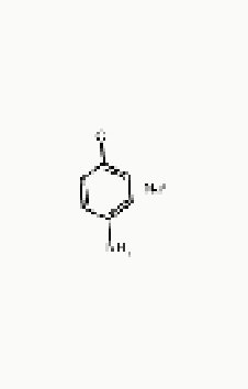 Nc1ccc([O-])cc1.[Na+]